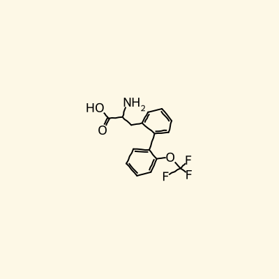 NC(Cc1ccccc1-c1ccccc1OC(F)(F)F)C(=O)O